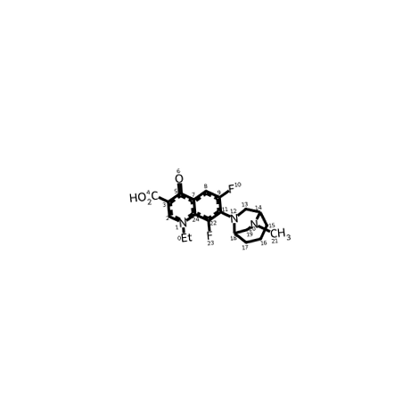 CCn1cc(C(=O)O)c(=O)c2cc(F)c(N3CC4CCCC3CN4C)c(F)c21